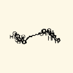 CN1CCC[C@@H]1c1cc2cnc(NC(=O)c3cccc(OCCCCCCCC#Cc4cccc5c4C(=O)N(C4CCC(=O)NC4=O)C5=O)c3)cc2[nH]1